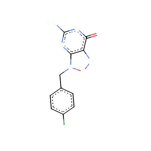 Nc1nc2c(c(=O)[nH]1)NON2Cc1ccc(Cl)cc1